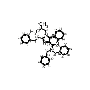 CC(C)Cn1c(SCc2ccccc2)nc2c(N(Cc3ccccc3)Cc3ccccc3)nc3ccccc3c21